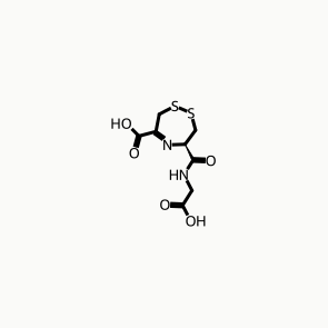 O=C(O)CNC(=O)[C@@H]1CSSCC(C(=O)O)=N1